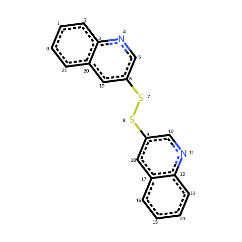 c1ccc2ncc(SSc3cnc4ccccc4c3)cc2c1